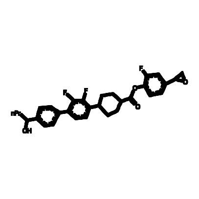 CCCC(O)c1ccc(-c2ccc(C3CCC(C(=O)Oc4ccc(C5CO5)cc4F)CC3)c(F)c2F)cc1